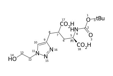 CC(C)(C)OC(=O)N[C@H](CC(Cc1cn(CCO)nn1)C(=O)O)C(=O)O